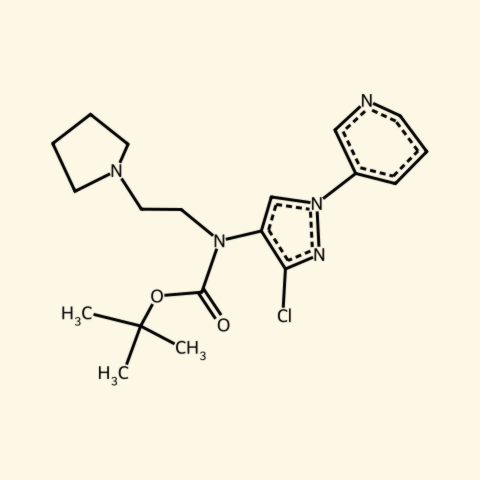 CC(C)(C)OC(=O)N(CCN1CCCC1)c1cn(-c2cccnc2)nc1Cl